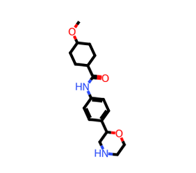 COC1CCC(C(=O)Nc2ccc(C3CNCCO3)cc2)CC1